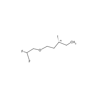 CC[C@@H](I)CCOCC(F)F